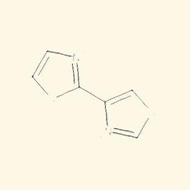 [c]1csc(-c2cscn2)n1